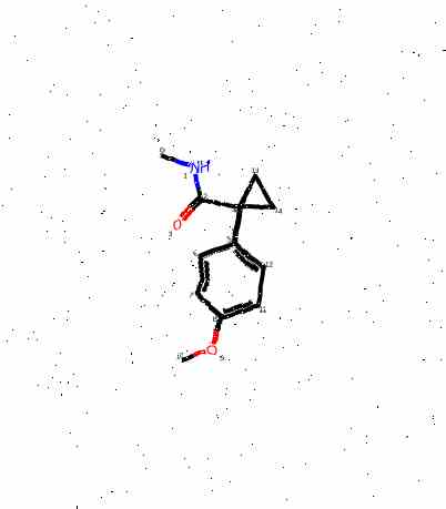 CNC(=O)C1(c2ccc(OC)cc2)CC1